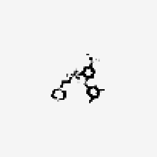 Cc1cc(C)cc(Oc2ccc([N+](=O)[O-])cc2S(=O)(=O)NCCN2CCOCC2)c1